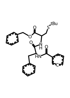 CC(C)(C)SCC(NC(=O)C(Cc1ccccc1)NC(=O)c1ccccc1)C(=O)OCc1ccccc1